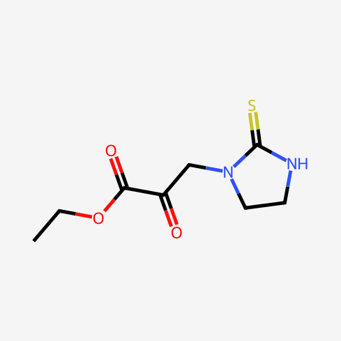 CCOC(=O)C(=O)CN1CCNC1=S